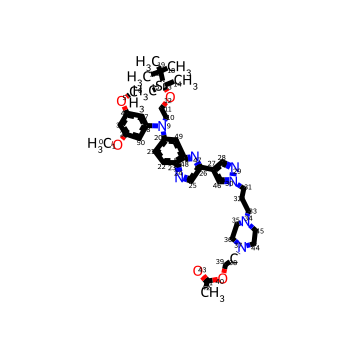 COc1cc(OC)cc(N(CCO[Si](C)(C)C(C)(C)C)c2ccc3ncc(-c4cnn(CCCN5CCN(CCOC(C)=O)CC5)c4)nc3c2)c1